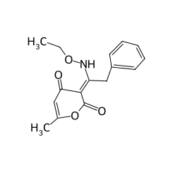 CCONC(Cc1ccccc1)=C1C(=O)C=C(C)OC1=O